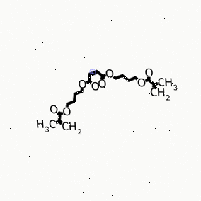 C=C(C)C(=O)OCCCCOC(=O)/C=C\C(=O)OCCCCOC(=O)C(=C)C